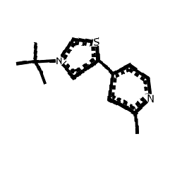 Cc1cc(-c2c[n+](C(C)(C)C)cs2)ccn1